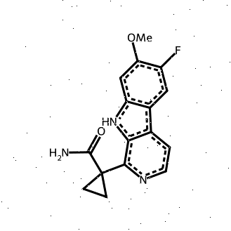 COc1cc2[nH]c3c(C4(C(N)=O)CC4)nccc3c2cc1F